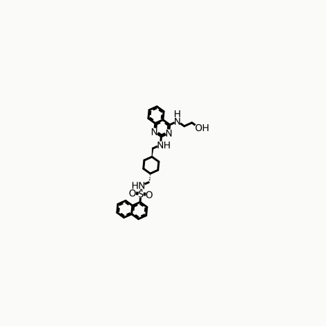 O=S(=O)(NC[C@H]1CC[C@H](CNc2nc(NCCO)c3ccccc3n2)CC1)c1cccc2ccccc12